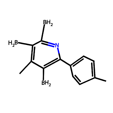 Bc1nc(-c2ccc(C)cc2)c(B)c(C)c1B